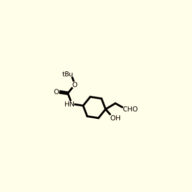 CC(C)(C)OC(=O)NC1CCC(O)(CC=O)CC1